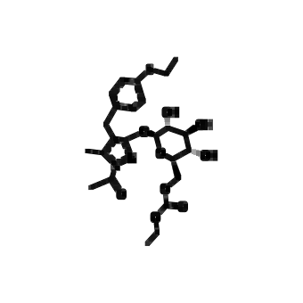 CCOC(=O)OC[C@H]1O[C@@H](Oc2nn(C(C)=O)c(C)c2Cc2ccc(SCC)cc2)[C@H](O)[C@@H](O)[C@@H]1O